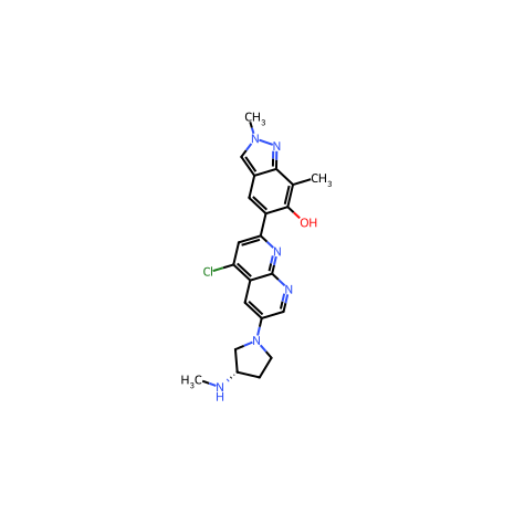 CN[C@H]1CCN(c2cnc3nc(-c4cc5cn(C)nc5c(C)c4O)cc(Cl)c3c2)C1